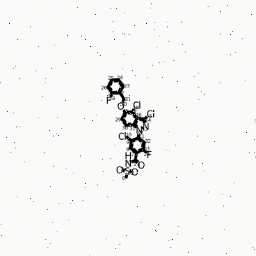 CS(=O)(=O)NC(=O)c1cc(Cl)c(-n2nc(Cl)c3c(Cl)c(OCc4ccccc4F)ccc32)cc1F